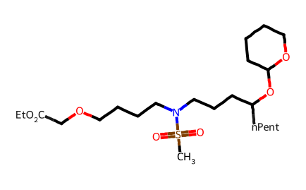 CCCCCC(CCCN(CCCCOCC(=O)OCC)S(C)(=O)=O)OC1CCCCO1